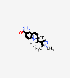 CC(c1cnn(C)c1C(F)(F)F)C1(C(F)(F)F)C=Cc2cc(C(N)=O)ccc2N1